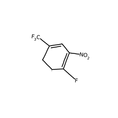 O=[N+]([O-])C1=C(F)[CH]CC(C(F)(F)F)=C1